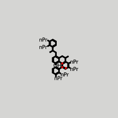 CCCc1cccc(C(C)Cc2ccc(O)c(CC(C)c3cccc(CCC)c3CCC)c2CC(C)c2cccc(CCC)c2CCC)c1CCC